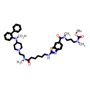 CN(CCN1CCC(N(C(=O)O)c2ccccc2-c2ccccc2)CC1)C(=O)CCCCCNc1nc2ccc(C(=O)N(C)CCCN(C)C(=O)OC(C)(C)C)cc2s1